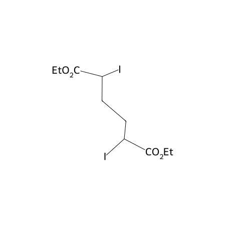 CCOC(=O)C(I)CCC(I)C(=O)OCC